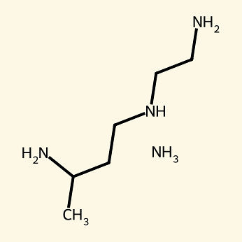 CC(N)CCNCCN.N